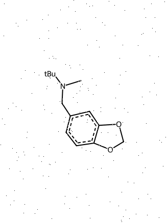 CN(Cc1ccc2c(c1)OCO2)C(C)(C)C